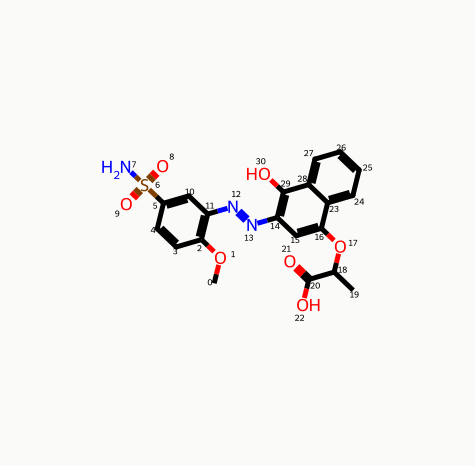 COc1ccc(S(N)(=O)=O)cc1N=Nc1cc(OC(C)C(=O)O)c2ccccc2c1O